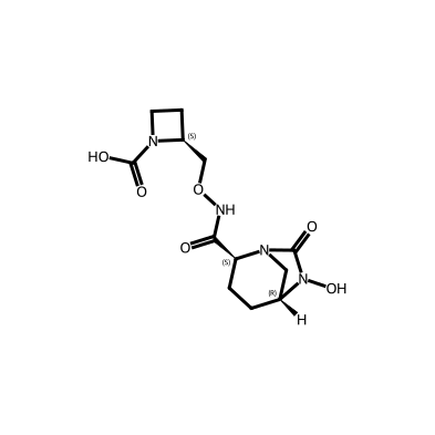 O=C(NOC[C@@H]1CCN1C(=O)O)[C@@H]1CC[C@@H]2CN1C(=O)N2O